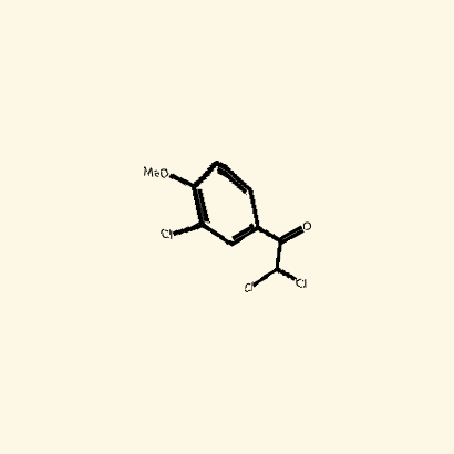 COc1ccc(C(=O)C(Cl)Cl)cc1Cl